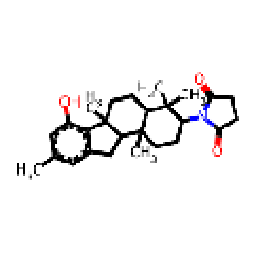 Cc1cc(O)c2c(c1)CC1C2(C)CCC2C(C)(C)C(N3C(=O)CCC3=O)CCC12C